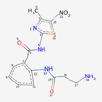 Cc1nc(NC(=O)c2ccccc2NC(=O)CCN)sc1[N+](=O)[O-]